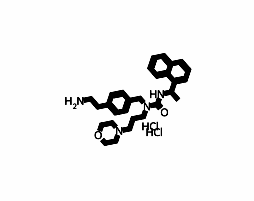 CC(NC(=O)N(CCCN1CCOCC1)Cc1ccc(CCN)cc1)c1cccc2ccccc12.Cl.Cl